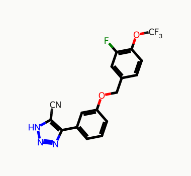 N#Cc1[nH]nnc1-c1cccc(OCc2ccc(OC(F)(F)F)c(F)c2)c1